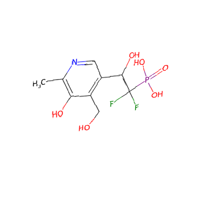 Cc1ncc(C(O)C(F)(F)P(=O)(O)O)c(CO)c1O